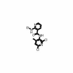 CCNc1ncccc1C(=O)Nc1c(C)cc(Cl)nc1Cl